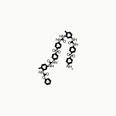 Cc1ccc(NC(=O)Nc2ccc(S(=O)(=O)c3ccc(N)cc3)cc2)cc1NC(=O)Nc1ccc(S(=O)(=O)c2ccc(NC(=O)Nc3ccc(C)c(NC(=O)Oc4ccccc4)c3)cc2)cc1